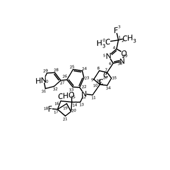 CC(C)(F)c1nc(C23CCC(CN(CC4(C=O)CC5(F)CC4C5)c4cccc(C5=CCNCC5)c4)(CC2)CC3)no1